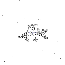 CC1(C)C(/C=C/C(=C/C=C2/N(CCCS(=O)(=O)O)c3ccc4c(S(=O)(=O)O)cc(S(=O)(=O)O)cc4c3C2(C)C)c2ccc(C(=O)O)cn2)=[N+](CCCS(=O)(=O)O)c2ccc3c(S(=O)(=O)O)cc(S(=O)(=O)O)cc3c21